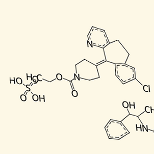 CCOC(=O)N1CCC(=C2c3ccc(Cl)cc3CCc3cccnc32)CC1.CNC(C)C(O)c1ccccc1.O=S(=O)(O)O